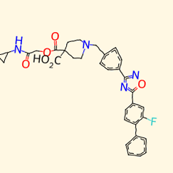 O=C(COC(=O)C1(C(=O)O)CCN(Cc2ccc(-c3noc(-c4ccc(-c5ccccc5)c(F)c4)n3)cc2)CC1)NC1CC1